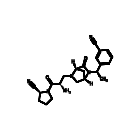 C[C@H](c1cccc(C#N)c1)N1C(=O)[C@@H]2C[C@H]1CN2C[C@H](N)C(=O)N1CCC[C@H]1C#N